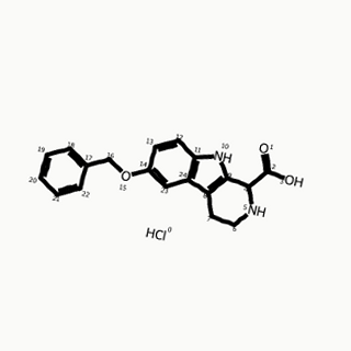 Cl.O=C(O)C1NCCc2c1[nH]c1ccc(OCc3ccccc3)cc21